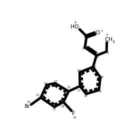 CCC(=CC(=O)O)c1cccc(-c2ccc(Br)cc2F)c1